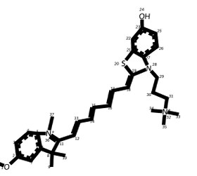 COc1ccc2c(c1)C(C)(C)C(/C=C/C=C/C=C/C=C1\Sc3cc(O)ccc3N1CCC[N+](C)(C)C)=[N+]2C